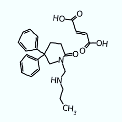 CCCNCN1CC(c2ccccc2)(c2ccccc2)CCC1=O.O=C(O)C=CC(=O)O